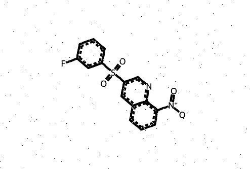 O=[N+]([O-])c1cccc2cc(S(=O)(=O)c3cccc(F)c3)cnc12